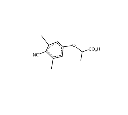 Cc1cc(OC(C)C(=O)O)cc(C)c1C#N